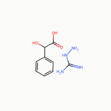 N=C(N)NN.O=C(O)C(O)c1ccccc1